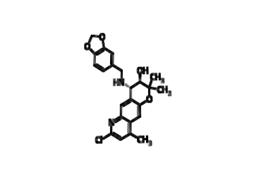 Cc1cc(Cl)nc2cc3c(cc12)OC(C)(C)[C@H](O)[C@H]3NCc1ccc2c(c1)OCO2